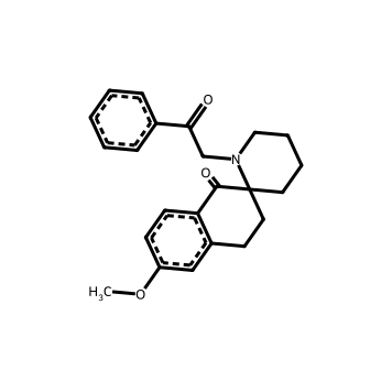 COc1ccc2c(c1)CCC1(CCCCN1CC(=O)c1ccccc1)C2=O